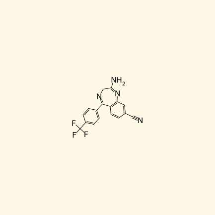 N#Cc1ccc2c(c1)N=C(N)CN=C2c1ccc(C(F)(F)F)cc1